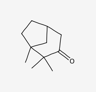 CC12CCC(CC(=O)C1(C)C)C2